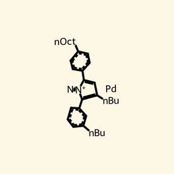 CCCCCCCCc1ccc(C2=CC(CCCC)=C(c3cccc(CCCC)c3)[N+]2=[N-])cc1.[Pd]